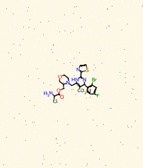 CCOC(=O)C1=C(CN2CCOCC2COC(=O)C(N)CC)NC(c2nccs2)=NC1c1ccc(F)cc1Br